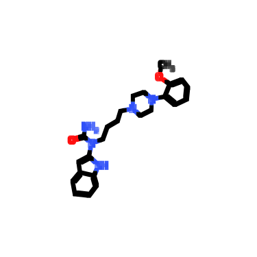 COc1ccccc1N1CCN(CCCCN(C(N)=O)c2cc3ccccc3[nH]2)CC1